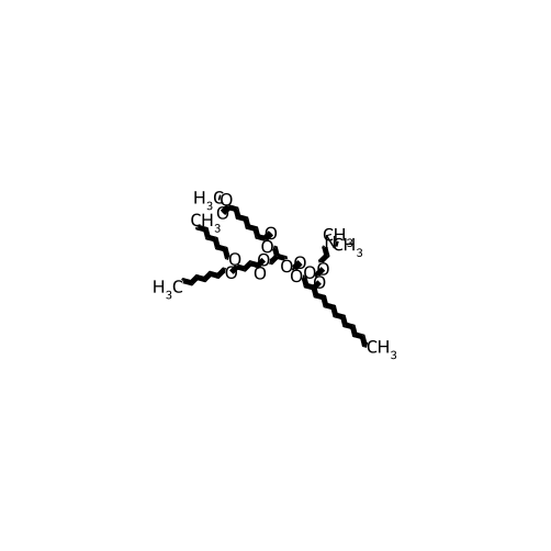 CCCCCCCCCCCCC(CCOC(=O)OCC(COC(=O)CCCCCCC(=O)OC)COC(=O)CCC(OCCCCCCCC)OCCCCCCCC)OC(=O)OCCCN(C)C